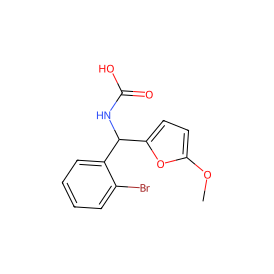 COc1ccc(C(NC(=O)O)c2ccccc2Br)o1